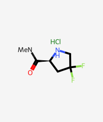 CNC(=O)[C@@H]1CC(F)(F)CN1.Cl